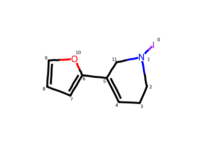 IN1CCC=C(c2ccco2)C1